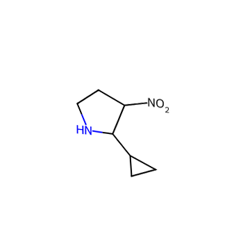 O=[N+]([O-])C1CCNC1C1CC1